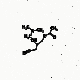 CC(=O)OCC(O)CC#N.CN(C)C